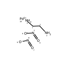 NCCN.O=N[O-].O=N[O-].[Pd+2]